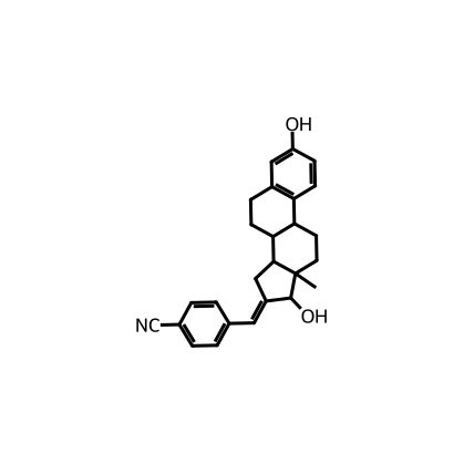 CC12CCC3c4ccc(O)cc4CCC3C1CC(=Cc1ccc(C#N)cc1)C2O